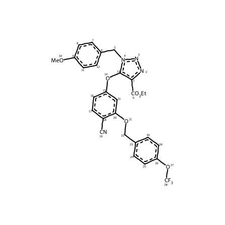 CCOC(=O)c1nnn(Cc2ccc(OC)cc2)c1Oc1ccc(C#N)c(OCc2ccc(OC(F)(F)F)cc2)c1